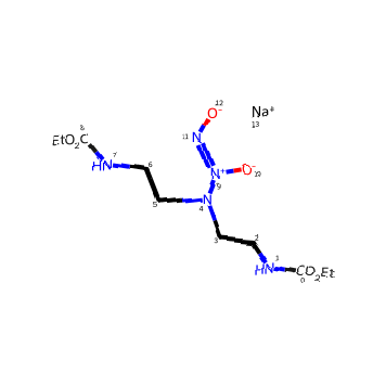 CCOC(=O)NCCN(CCNC(=O)OCC)[N+]([O-])=N[O-].[Na+]